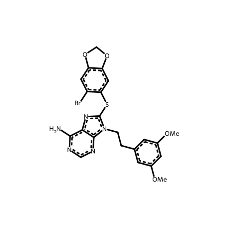 COc1cc(CCn2c(Sc3cc4c(cc3Br)OCO4)nc3c(N)ncnc32)cc(OC)c1